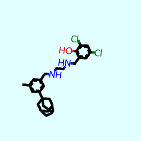 Cc1cc(CNCCNCc2cc(Cl)cc(Cl)c2O)cc(C23CC4CC(C2)C(C4)C3)c1